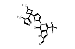 CC1CC(c2ccc(-n3cc(C(F)(F)F)c4cc(C=O)[nH]c4c3=O)s2)(c2nncn2C)C1